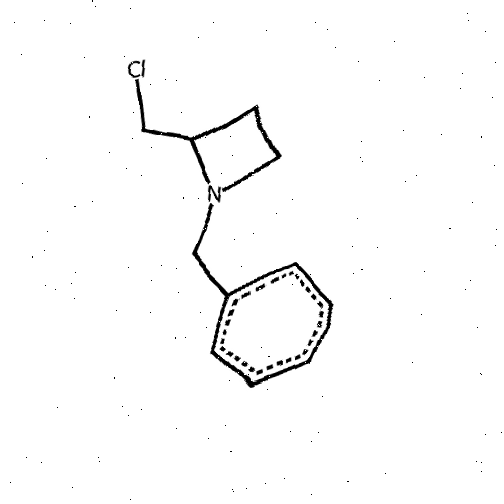 ClCC1CCN1Cc1ccccc1